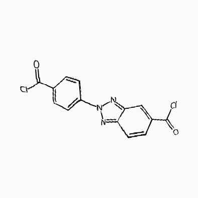 O=C(Cl)c1ccc(-n2nc3ccc(C(=O)Cl)cc3n2)cc1